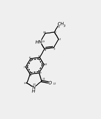 CC1CC=C(c2ccc3c(c2)C(=O)NC3)NC1